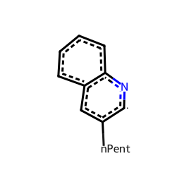 CCCCCc1[c]nc2ccccc2c1